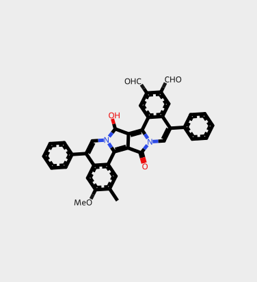 COc1cc2c(cc1C)C1=C3C(=O)N4C=C(c5ccccc5)c5cc(C=O)c(C=O)cc5C4=C3C(O)N1C=C2c1ccccc1